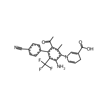 CC(=O)c1c(C)c(N2C=CCC(C(=O)O)=C2)c(N)c(C(F)(F)F)c1-c1ccc(C#N)cc1